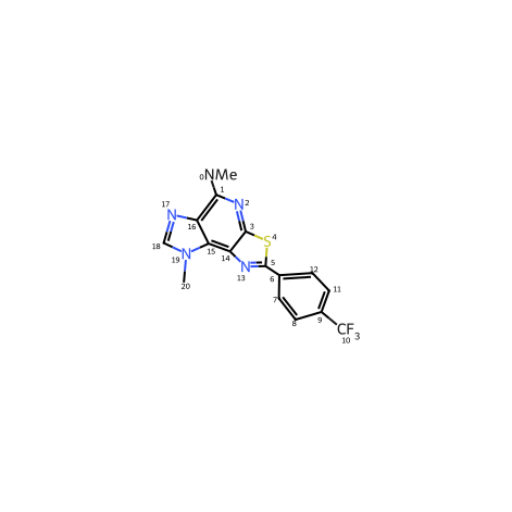 CNc1nc2sc(-c3ccc(C(F)(F)F)cc3)nc2c2c1ncn2C